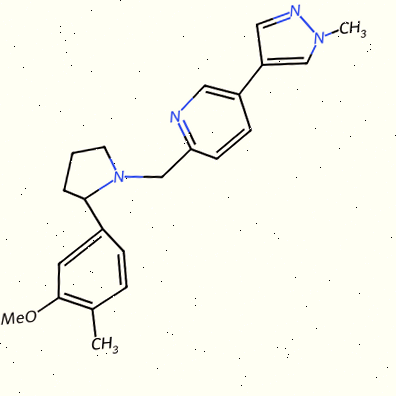 COc1cc(C2CCCN2Cc2ccc(-c3cnn(C)c3)cn2)ccc1C